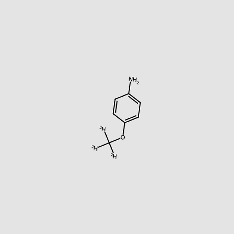 [2H]C([2H])([2H])Oc1ccc(N)cc1